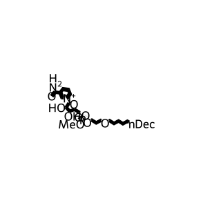 CCCCCCCCCCCCCCCOCCCOP(=O)(OC)OCC1OC([n+]2cccc(C(N)=O)c2)C(O)C1O